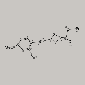 COc1ccc(C#CC2CN(C(=O)OC(C)(C)C)C2)c(C(F)(F)F)c1